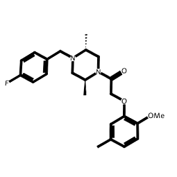 COc1ccc(C)cc1OCC(=O)N1C[C@@H](C)N(Cc2ccc(F)cc2)C[C@@H]1C